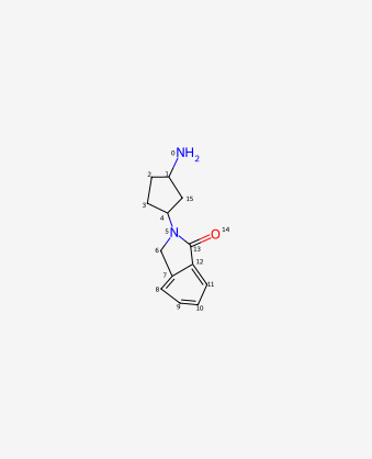 NC1CCC(N2Cc3ccccc3C2=O)C1